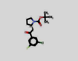 CC(C)(C)OC(=O)N1CCC[C@H]1CC(=O)c1cc(F)cc(Cl)c1